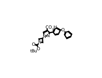 CC(C)(C)OC(=O)N1CC(n2cc(C(=O)O)c(-c3ccc(Oc4ccccc4)cc3)n2)C1